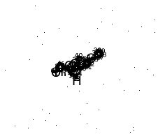 COc1cccc(C(=O)NC(CC(C)C)C(=O)NC(Cc2ccc(OCc3ccccc3)cc2)C(=O)OC(C)(C)C)c1